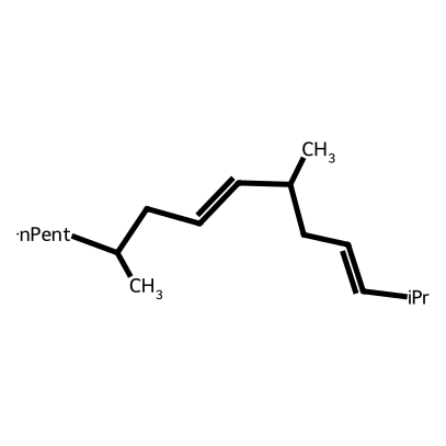 CCCC[CH]C(C)CC=CC(C)CC=CC(C)C